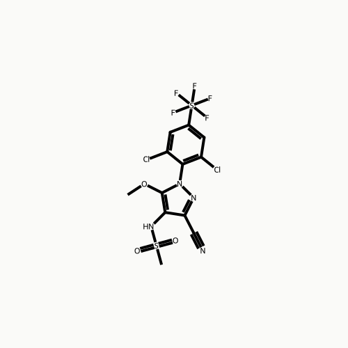 COc1c(NS(C)(=O)=O)c(C#N)nn1-c1c(Cl)cc(S(F)(F)(F)(F)F)cc1Cl